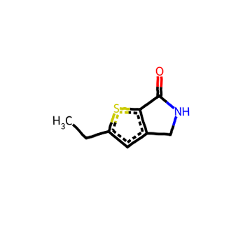 CCc1cc2c(s1)C(=O)NC2